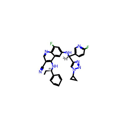 [2H][C@](Nc1cc(F)c2ncc(C#N)c(N[C@H](CC)c3ccccc3)c2c1)(c1ccc(F)nc1)c1cn(C2CC2)nn1